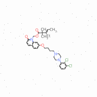 C/C=C(\CC)C(C)(C)C(=O)OCn1c(=O)ccc2ccc(OCCCCN3CCN(c4cccc(Cl)c4Cl)CC3)cc21